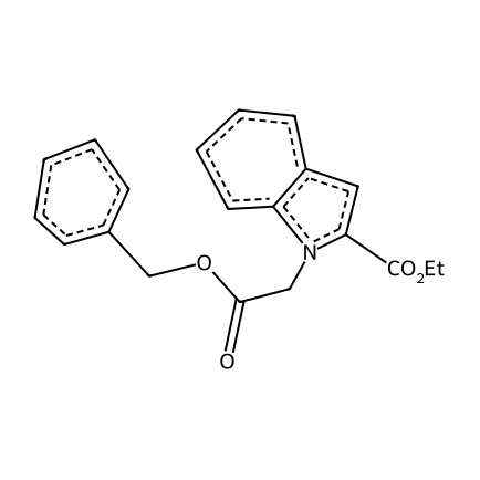 CCOC(=O)c1cc2ccccc2n1CC(=O)OCc1ccccc1